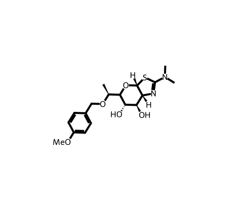 COc1ccc(CO[C@@H](C)C2O[C@@H]3SC(N(C)C)=N[C@@H]3[C@@H](O)[C@@H]2O)cc1